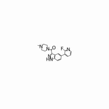 CN1CCN(C(=O)c2n[nH]c3ccc(-c4cccnc4F)cc23)CC1